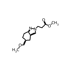 COC=C1CCc2nn(CCC(=O)OC)cc2C1